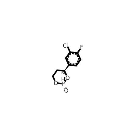 O=[PH]1OCC[C@@H](c2ccc(F)c(Cl)c2)O1